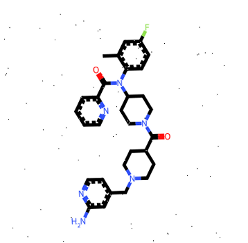 Cc1cc(F)ccc1N(C(=O)c1ccccn1)C1CCN(C(=O)C2CCN(Cc3ccnc(N)c3)CC2)CC1